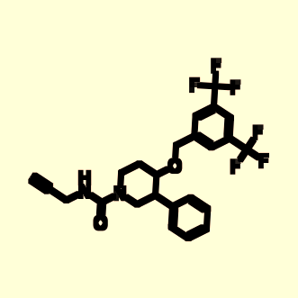 C#CCNC(=O)N1CCC(OCc2cc(C(F)(F)F)cc(C(F)(F)F)c2)C(c2ccccc2)C1